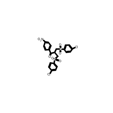 O=C(c1ccc([N+](=O)[O-])cc1)C(CS(=O)(=O)c1ccc(Cl)cc1)CS(=O)(=O)c1ccc(Cl)cc1